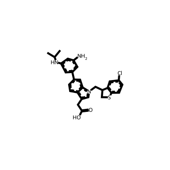 CC(C)Nc1cc(N)cc(-c2ccc3c(CC(=O)O)cn(CC4CSc5ccc(Cl)cc54)c3c2)c1